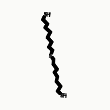 SCCCCCCCCSCCCCCCCCS